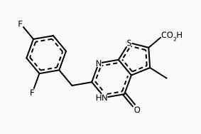 Cc1c(C(=O)O)sc2nc(Cc3ccc(F)cc3F)[nH]c(=O)c12